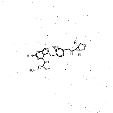 CCC[C@@H](CCO)Nc1nc(N)nc2cnn(Cc3ccc(CNC4[C@H]5COC[C@@H]45)cc3OC)c12